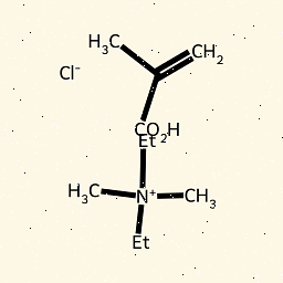 C=C(C)C(=O)O.CC[N+](C)(C)CC.[Cl-]